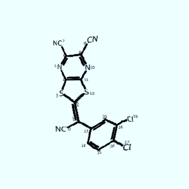 N#CC(=C1Sc2nc(C#N)c(C#N)nc2S1)c1ccc(Cl)c(Cl)c1